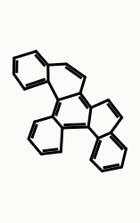 c1ccc2c(c1)ccc1c3ccc4ccccc4c3c3ccccc3c21